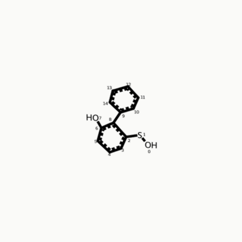 OSc1cccc(O)c1-c1ccccc1